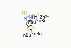 CCCCN(CCCC)C(=S)[S-].CCCCN(CCCC)C(=S)[S-].Sc1nc2ccccc2[nH]1.[Zn+2]